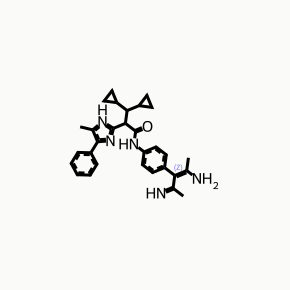 CC(=N)/C(=C(/C)N)c1ccc(NC(=O)C(c2nc(-c3ccccc3)c(C)[nH]2)C(C2CC2)C2CC2)cc1